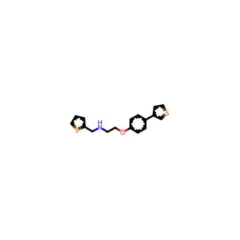 c1csc(CNCCOc2ccc(-c3ccsc3)cc2)c1